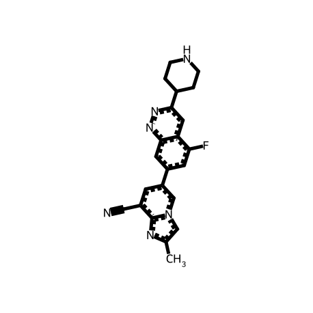 Cc1cn2cc(-c3cc(F)c4cc(C5CCNCC5)nnc4c3)cc(C#N)c2n1